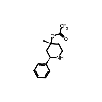 C[C@@]1(OC(=O)C(F)(F)F)CCN[C@@H](c2ccccc2)C1